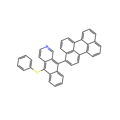 c1ccc(Sc2c3ccccc3c(-c3ccc4c5cccc6cccc(c7cccc3c74)c65)c3cnccc23)cc1